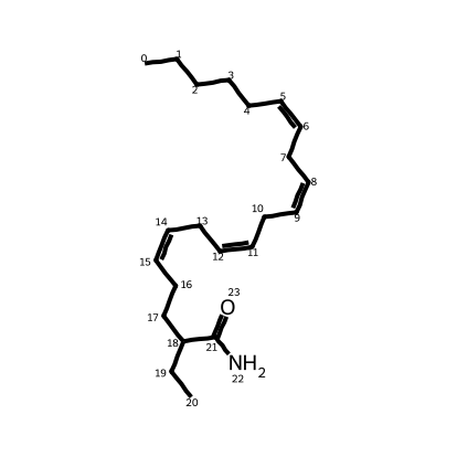 CCCCC/C=C\C/C=C\C/C=C\C/C=C\CCC(CC)C(N)=O